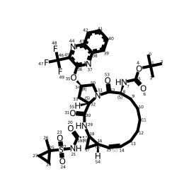 CC(C)(C)OC(=O)N[C@H]1CCCCC/C=C\[C@@H]2C[C@@]2(C(=O)NS(=O)(=O)C2(C)CC2)NC(=O)[C@@H]2C[C@@H](Oc3nc4ccccc4nc3C(F)(F)F)CN2C1=O